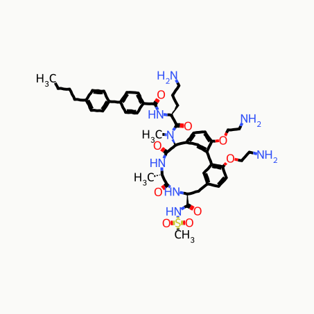 CCCCc1ccc(-c2ccc(C(=O)N[C@@H](CCCN)C(=O)N(C)[C@@H]3C(=O)N[C@@H](C)C(=O)N[C@H](C(=O)NS(C)(=O)=O)Cc4ccc(OCCN)c(c4)-c4cc3ccc4OCCN)cc2)cc1